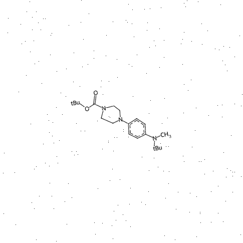 CN(c1ccc(N2CCN(C(=O)OC(C)(C)C)CC2)cc1)C(C)(C)C